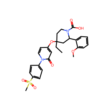 CCC1(Oc2ccn(-c3ccc(S(C)(=O)=O)cc3)c(=O)c2)CCN(C(=O)O)C(c2ccccc2OC)C1